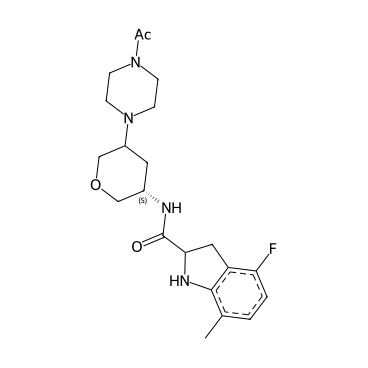 CC(=O)N1CCN(C2COC[C@@H](NC(=O)C3Cc4c(F)ccc(C)c4N3)C2)CC1